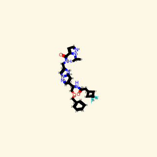 CC(C)n1nccc1C(=O)NCc1cn2ncc(C(COCc3ccccc3)NC(=O)CC3CC(F)(F)C3)cc2n1